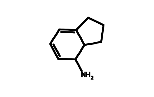 NC1C=CC=C2CCCC21